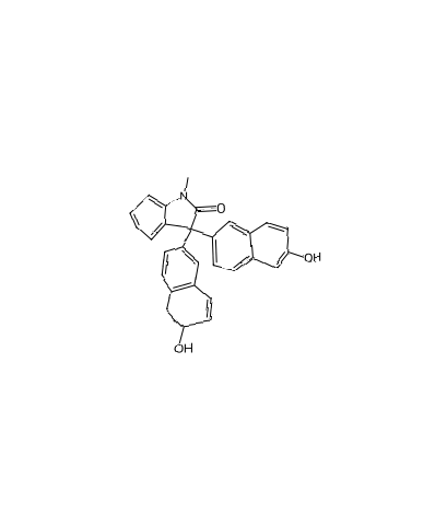 CN1C(=O)C(c2ccc3c(c2)C=CC(O)C3)(c2ccc3cc(O)ccc3c2)c2ccccc21